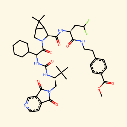 COC(=O)c1ccc(CCNC(=O)[C@H](CC(F)F)NC(=O)[C@@H]2C3C(CN2C(=O)[C@@H](NC(=O)N[C@H](CN2C(=O)c4ccncc4C2=O)C(C)(C)C)C2CCCCC2)C3(C)C)cc1